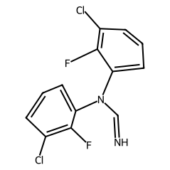 N=CN(c1cccc(Cl)c1F)c1cccc(Cl)c1F